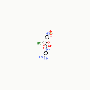 CS(=O)(=O)Nc1ccc(N2CCO[C@H]([C@@H](O)C(=O)Nc3ccc(C(=N)N)cc3)C2=O)cc1.Cl